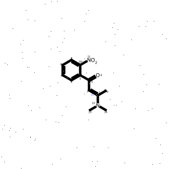 C/C(=C\C(=O)c1ccccc1[N+](=O)[O-])N(C)C